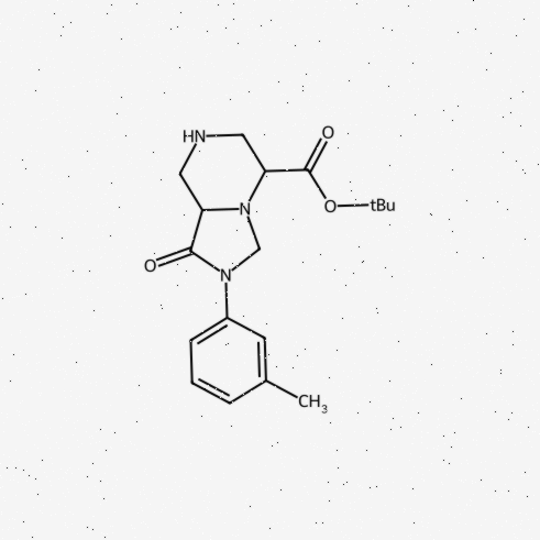 Cc1cccc(N2CN3C(C(=O)OC(C)(C)C)CNCC3C2=O)c1